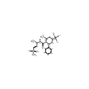 CC(/C=C/S(C)(=O)=O)NC(=O)N1[C@@H](C)C[C@@H](C(F)(F)F)C[C@H]1c1ccccc1